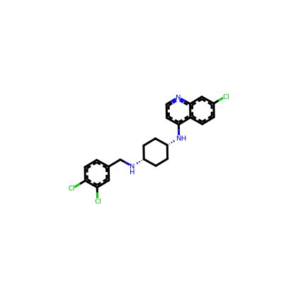 Clc1ccc2c(N[C@H]3CC[C@@H](NCc4ccc(Cl)c(Cl)c4)CC3)ccnc2c1